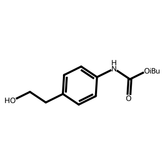 CC(C)COC(=O)Nc1ccc(CCO)cc1